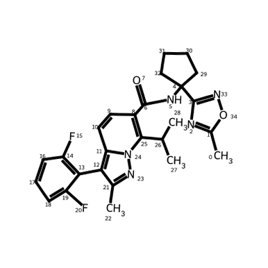 Cc1nc(C2(NC(=O)c3ccc4c(-c5c(F)cccc5F)c(C)nn4c3C(C)C)CCCC2)no1